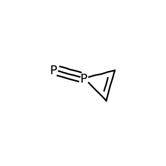 P#P1C=C1